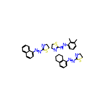 Cc1cccc(/N=N/C2=NCCS2)c1C.c1cc2c(c(/N=N/C3=NCCS3)c1)CCCC2.c1ccc2c(/N=N/C3=NCCS3)cccc2c1